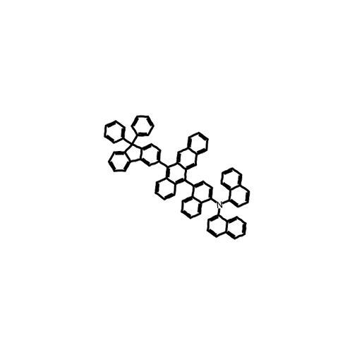 c1ccc(C2(c3ccccc3)c3ccccc3-c3cc(-c4c5ccccc5c(-c5ccc(N(c6cccc7ccccc67)c6cccc7ccccc67)c6ccccc56)c5cc6ccccc6cc45)ccc32)cc1